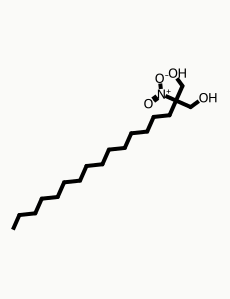 CCCCCCCCCCCCCCCC(CO)(CO)[N+](=O)[O-]